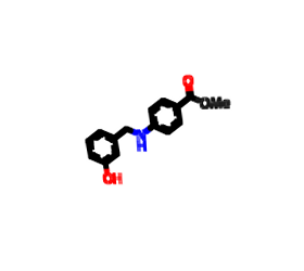 COC(=O)c1ccc(NCc2cccc(O)c2)cc1